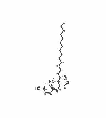 CCCCCCCCCCCCCC[C@@H](O)[C@@H](O)[C@H](CO)NC(=O)/C=C\C(=O)O